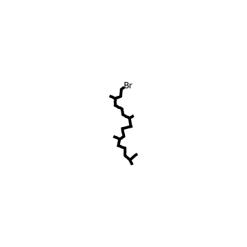 CC(C)CCCC(C)CCCC(C)CCCC(C)CCBr